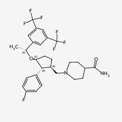 C[C@@H](O[C@H]1CC[C@@H](CN2CCC(C(N)=O)CC2)[C@@H]1c1ccc(F)cc1)c1cc(C(F)(F)F)cc(C(F)(F)F)c1